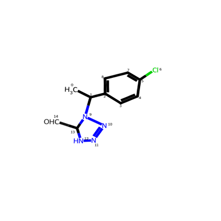 CC(c1ccc(Cl)cc1)N1N=NNC1C=O